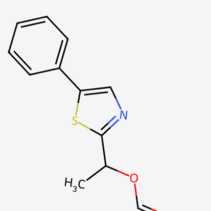 CC(OC=O)c1ncc(-c2ccccc2)s1